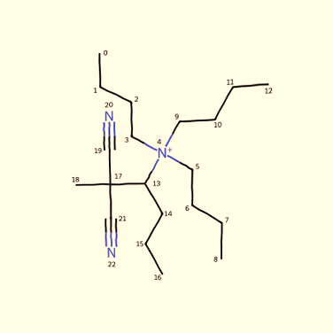 CCCC[N+](CCCC)(CCCC)C(CCC)C(C)(C#N)C#N